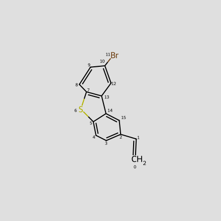 C=Cc1ccc2sc3ccc(Br)cc3c2c1